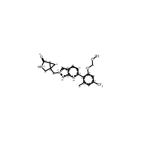 CCOCOc1cc(C(F)(F)F)cc(C)c1-c1ccc2cn(CC34CNC(=O)C3C4)nc2n1